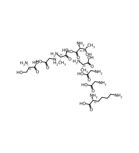 C[C@@H](O)[C@H](N)C(=O)O.C[C@H](N)C(=O)O.C[C@H](N)C(=O)O.NCC(=O)O.NCC(=O)O.NCC(=O)O.NCCCC[C@H](N)C(=O)O.N[C@@H](CO)C(=O)O